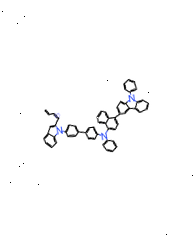 C=C/C=C\c1cc2ccccc2n1-c1ccc(-c2ccc(N(c3ccccc3)c3ccc(-c4ccc5c(c4)c4ccccc4n5-c4ccccc4)c4ccccc34)cc2)cc1